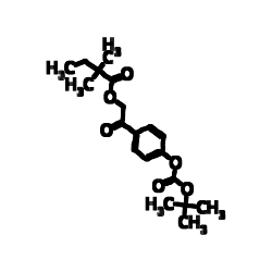 CCC(C)(C)C(=O)OCC(=O)c1ccc(OC(=O)OC(C)(C)C)cc1